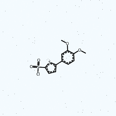 COc1ccc(-c2ccc(S(=O)(=O)Cl)s2)cc1OC